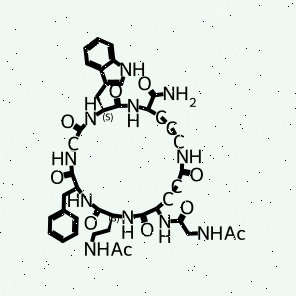 CC(=O)NCC[C@@H]1NC(=O)C(NC(=O)CNC(C)=O)CCC(=O)NCCCC(C(N)=O)NC(=O)[C@H](Cc2c[nH]c3ccccc23)NC(=O)CNC(=O)C(Cc2ccccc2)NC1=O